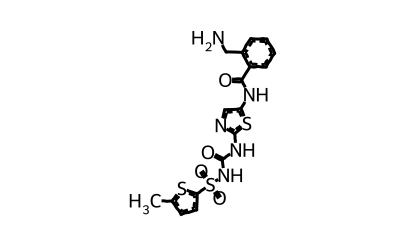 Cc1ccc(S(=O)(=O)NC(=O)Nc2ncc(NC(=O)c3ccccc3CN)s2)s1